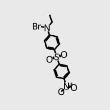 CCN(Br)c1ccc(S(=O)(=O)c2ccc([N+](=O)[O-])cc2)cc1